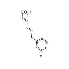 O=C(O)C=CC=CCc1cccc(F)c1